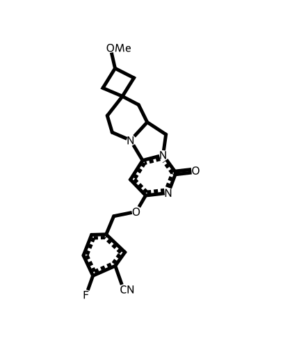 COC1CC2(CCN3c4cc(OCc5ccc(F)c(C#N)c5)nc(=O)n4CC3C2)C1